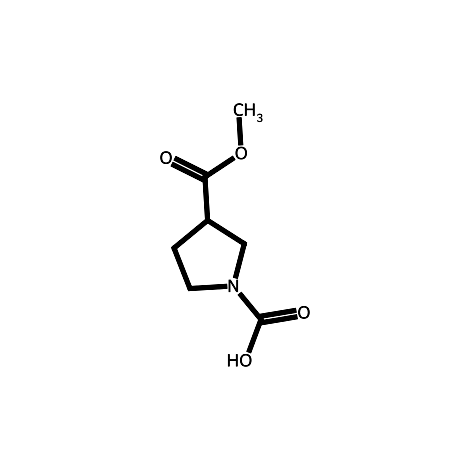 COC(=O)C1CCN(C(=O)O)C1